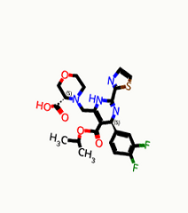 CC(C)OC(=O)C1=C(CN2CCOC[C@H]2C(=O)O)NC(c2nccs2)=N[C@H]1c1ccc(F)c(F)c1